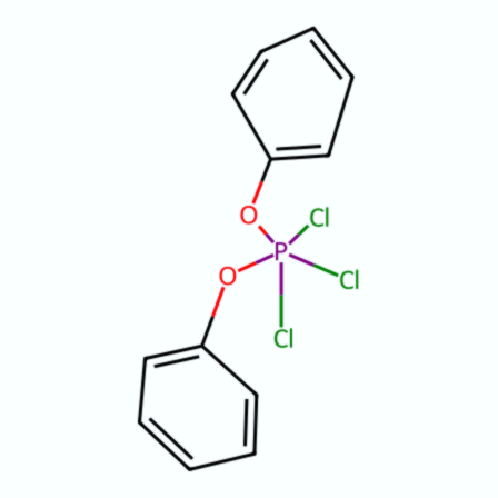 ClP(Cl)(Cl)(Oc1ccccc1)Oc1ccccc1